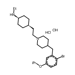 CCN[C@H]1CC[C@@H](CCN2CCC(Cc3cc(OC(C)C)ccc3Br)CC2)CC1.Cl.Cl